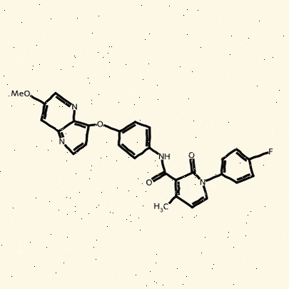 COc1cnc2c(Oc3ccc(NC(=O)c4c(C)ccn(-c5ccc(F)cc5)c4=O)cc3)ccnc2c1